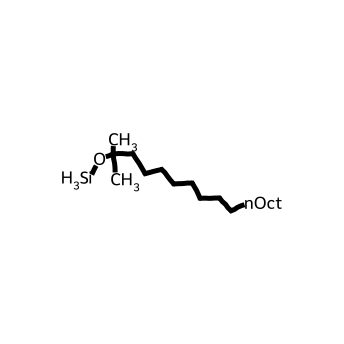 CCCCCCCCCCCCCCCCC(C)(C)O[SiH3]